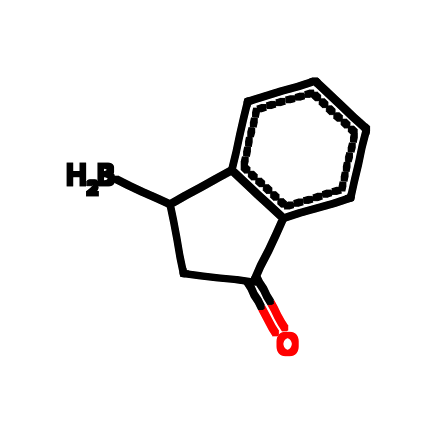 BC1CC(=O)c2ccccc21